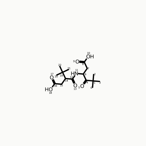 CC(C)(C)C(=O)C(CC(=O)O)NC(=O)C(CC(=O)O)C(C)(C)C